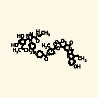 CCNC(=O)c1nnc(-c2cc(C(C)C)c(O)cc2O)n1-c1ccc(CN2CCC(C(=O)N3CCN(C(=O)O[C@@H]4C(=O)OCc5c4cc4n(c5=O)Cc5c-4nc4ccc(O)cc4c5CC)C(C)C3)CC2)cc1